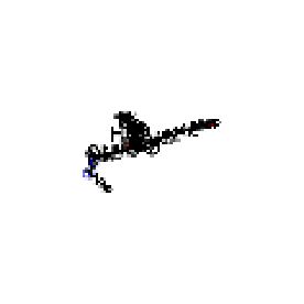 CCCCC/C=C\C/C=C(/O)CCCCCCCC(=O)OC(COC(=O)CCCCCCCCCCCCCCC)COP(=O)(O)OCC[N+](C)(C)C